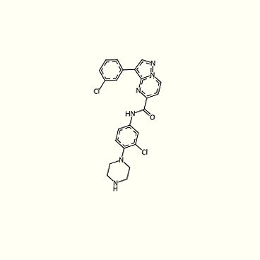 O=C(Nc1ccc(N2CCNCC2)c(Cl)c1)c1ccn2ncc(-c3cccc(Cl)c3)c2n1